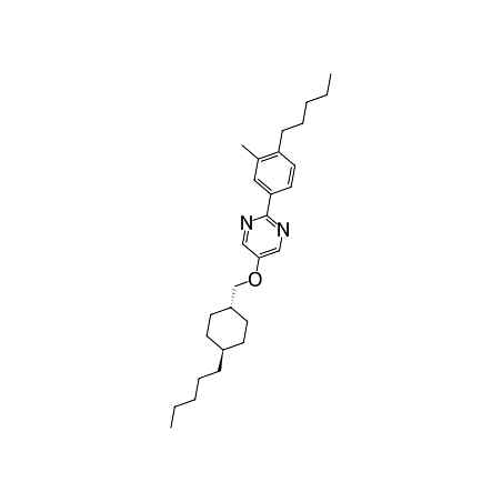 CCCCCc1ccc(-c2ncc(OC[C@H]3CC[C@H](CCCCC)CC3)cn2)cc1C